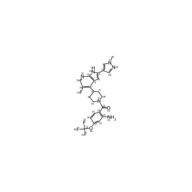 Cn1cc(-c2cc3c(C4CCN(C(=O)c5ccc(OC(F)(F)F)cc5N)CC4)c(F)cnc3[nH]2)cn1